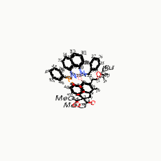 COC(=O)C1(C(=O)OC)Cc2c(C)c(CCO[Si](C)(C)C(C)(C)C)c(B3N(Cc4ccccc4)c4cccc5cccc(c45)N3P(c3ccccc3)c3ccccc3)c(C)c2C1